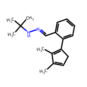 CC1=CCC(c2ccccc2/C=N/NC(C)(C)C)=C1C